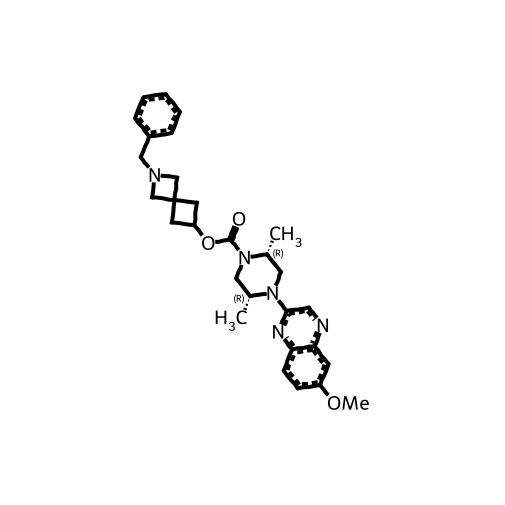 COc1ccc2nc(N3C[C@@H](C)N(C(=O)OC4CC5(C4)CN(Cc4ccccc4)C5)C[C@H]3C)cnc2c1